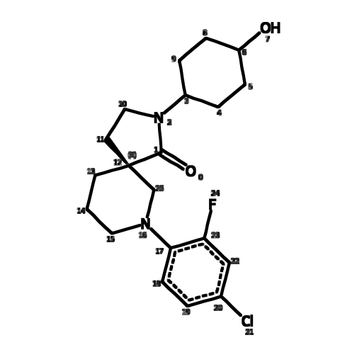 O=C1N(C2CCC(O)CC2)CC[C@@]12CCCN(c1ccc(Cl)cc1F)C2